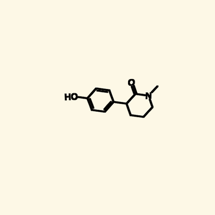 CN1CCCC(c2ccc(O)cc2)C1=O